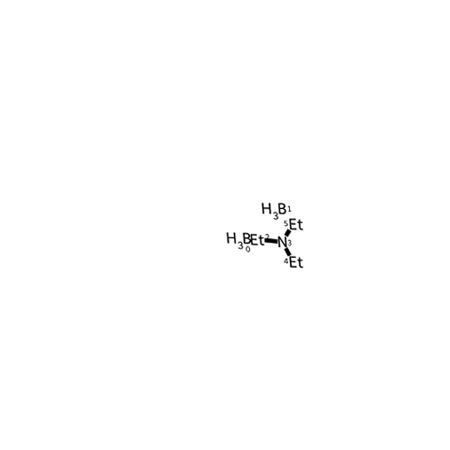 B.B.CCN(CC)CC